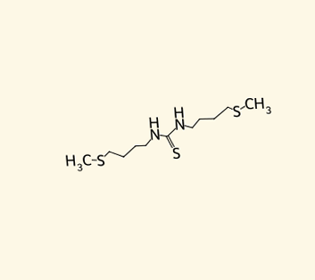 CSCCCCNC(=S)NCCCCSC